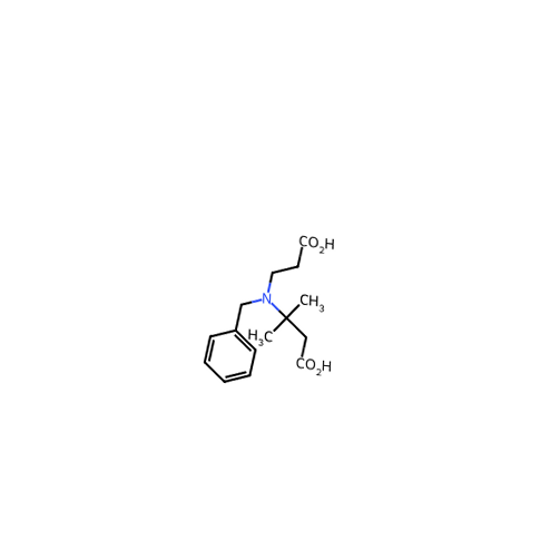 CC(C)(CC(=O)O)N(CCC(=O)O)Cc1ccccc1